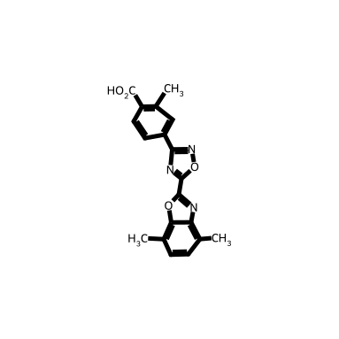 Cc1cc(-c2noc(-c3nc4c(C)ccc(C)c4o3)n2)ccc1C(=O)O